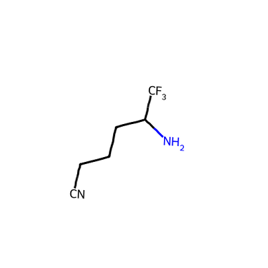 N#CCCCC(N)C(F)(F)F